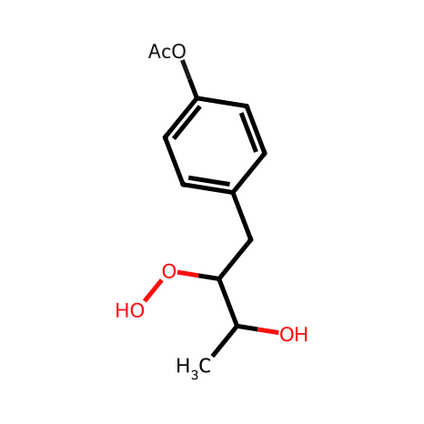 CC(=O)Oc1ccc(CC(OO)C(C)O)cc1